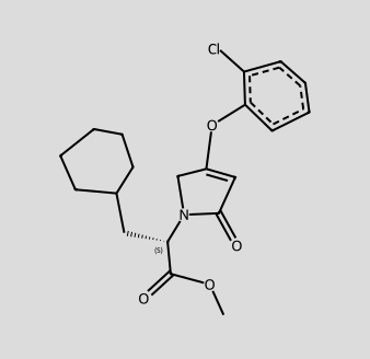 COC(=O)[C@H](CC1CCCCC1)N1CC(Oc2ccccc2Cl)=CC1=O